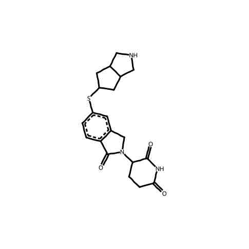 O=C1CCC(N2Cc3cc(SC4CC5CNCC5C4)ccc3C2=O)C(=O)N1